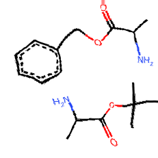 CC(N)C(=O)OC(C)(C)C.CC(N)C(=O)OCc1ccccc1